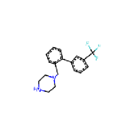 FC(F)(F)c1cccc(-c2ccccc2CN2CCNCC2)c1